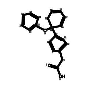 O=C(O)Cc1ccc(C2(Oc3[c]cccc3)C=CC=CC2)cc1